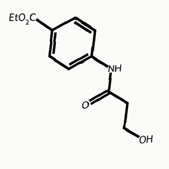 CCOC(=O)c1ccc(NC(=O)CCO)cc1